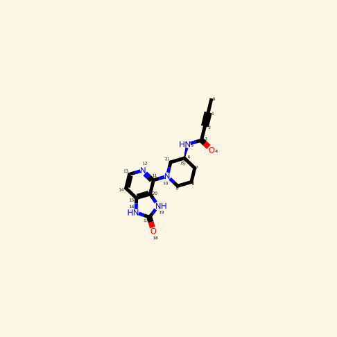 CC#CC(=O)N[C@H]1CCCN(c2nccc3[nH]c(=O)[nH]c23)C1